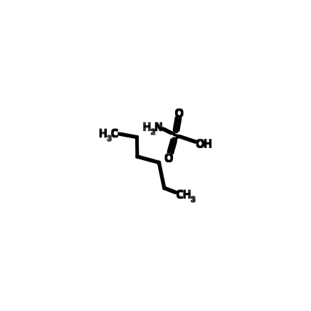 CCCCCC.NS(=O)(=O)O